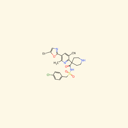 CCc1cnc(-c2cc(C#N)c(C3(C(=O)NS(=O)(=O)Cc4ccc(Cl)cc4)CCNCC3)nc2C)o1